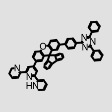 C1=CCNC(c2cc(-c3ccc4c(c3)C3(c5cc(-c6ccc(-c7nc(-c8ccccc8)nc(-c8ccccc8)n7)cc6)ccc5O4)c4ccccc4-c4ccccc43)cc(C3=NCCC=C3)n2)=C1